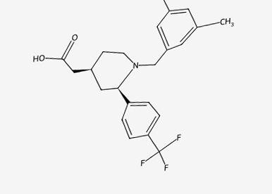 Cc1cc(C)cc(CN2CC[C@H](CC(=O)O)C[C@@H]2c2ccc(C(F)(F)F)cc2)c1